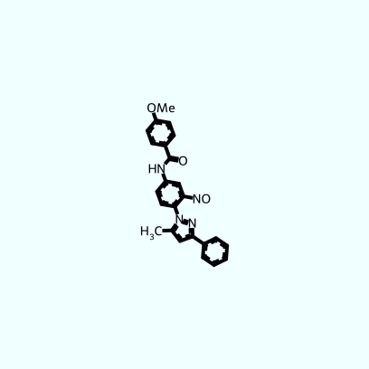 COc1ccc(C(=O)Nc2ccc(-n3nc(-c4ccccc4)cc3C)c(N=O)c2)cc1